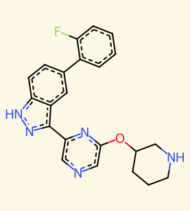 Fc1ccccc1-c1ccc2[nH]nc(-c3cncc(OC4CCCNC4)n3)c2c1